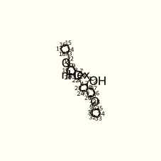 CCCCCCC(O)c1c(-c2ccc3cc(OCc4ccccc4)ccc3c2)ccc2cc(OCc3ccccc3)ccc12